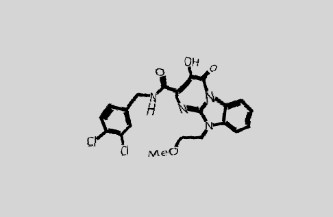 COCCn1c2ccccc2n2c(=O)c(O)c(C(=O)NCc3ccc(Cl)c(Cl)c3)nc12